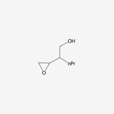 CCCC(CO)C1CO1